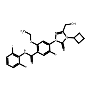 O=C(Nc1c(F)cccc1Cl)c1cc(F)c(-n2nc(CO)n(C3CCC3)c2=O)cc1OCC(F)(F)F